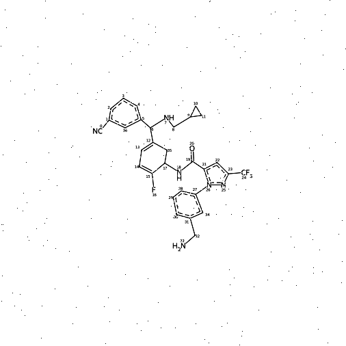 N#Cc1cccc(C(NCC2CC2)C2=CC=C(F)C(NC(=O)c3cc(C(F)(F)F)nn3-c3cccc(CN)c3)C2)c1